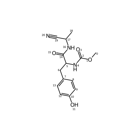 COC(=O)NC(Cc1ccc(O)cc1)C(=O)NC(C)C#N